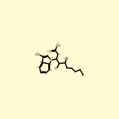 CCCCCC(Br)C(Cl)C(CC(=O)O)n1cc(O)c2ccccc21